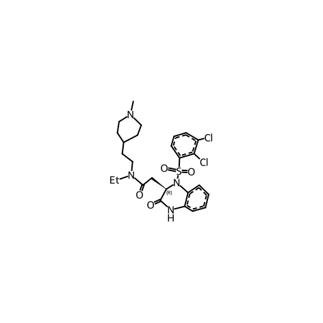 CCN(CCC1CCN(C)CC1)C(=O)C[C@@H]1C(=O)Nc2ccccc2N1S(=O)(=O)c1cccc(Cl)c1Cl